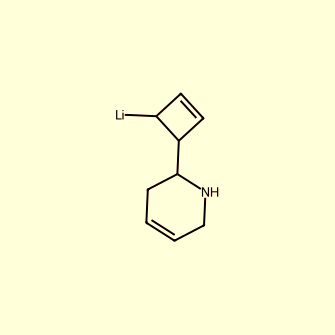 [Li][CH]1C=CC1C1CC=CCN1